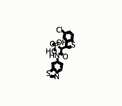 O=C(Nc1ccc2ncsc2c1)C(c1csc2ccc(Cl)cc12)P(=O)(O)O